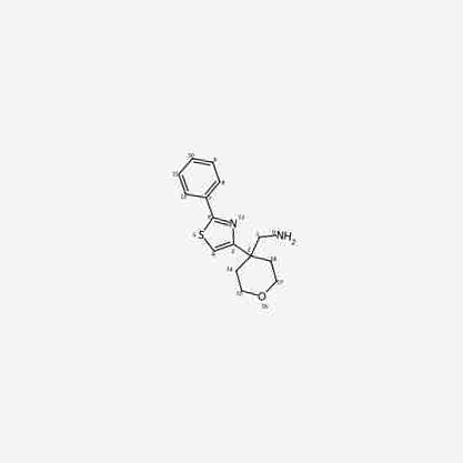 NCC1(c2csc(-c3ccccc3)n2)CCOCC1